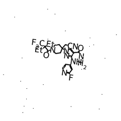 CCC(CC)(C(=O)N1CCC(CC#N)(n2cc(C(N)=O)c(Nc3ccnc(F)c3)n2)CC1)C(F)(F)F